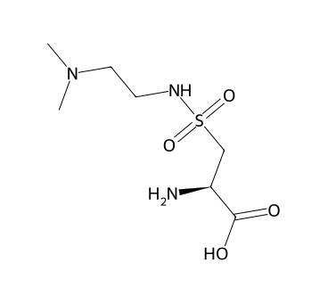 CN(C)CCNS(=O)(=O)C[C@H](N)C(=O)O